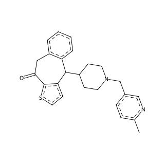 Cc1ccc(CN2CCC(C3c4ccccc4CC(=O)c4sccc43)CC2)cn1